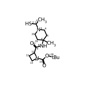 CC(S)N1CCC(C)(NC(=O)C2CCN2C(=O)OC(C)(C)C)CC1